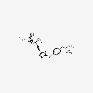 CC(=O)NC(C)C#Cc1cnc(Sc2ccc(OC(C)C)cc2)s1